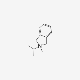 CC(C)[N+]1(C)Cc2ccccc2C1